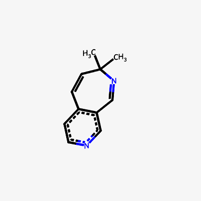 CC1(C)C=Cc2ccncc2C=N1